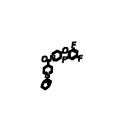 O=C(C1CCN(C2CC3CCC2C3)CC1)N1CCC(Oc2c(F)cc(F)cc2F)CC1